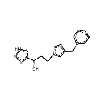 OC(CCc1csc(Cc2ccncc2)c1)c1nn[nH]n1